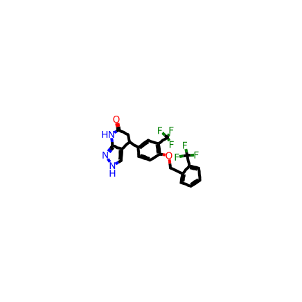 O=C1CC(c2ccc(OCc3ccccc3C(F)(F)F)c(C(F)(F)F)c2)c2c[nH]nc2N1